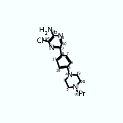 CC(C)N1CCN(c2ccc(-c3cnc(N)c(Cl)n3)cc2)CC1